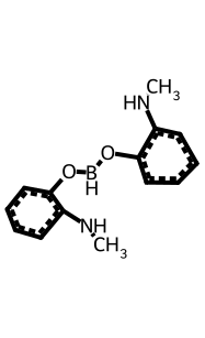 CNc1ccccc1OBOc1ccccc1NC